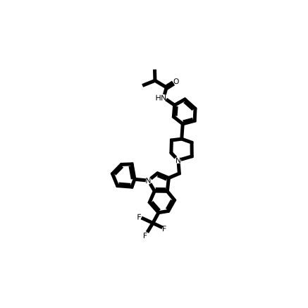 CC(C)C(=O)Nc1cccc(C2CCN(Cc3cn(-c4ccccc4)c4cc(C(F)(F)F)ccc34)CC2)c1